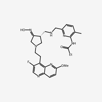 CCC(=O)Nc1nc(CNC[C@@H]2CN(CCc3c(F)cnc4ccc(OC)nc34)CC2=NO)ccc1C